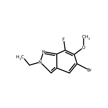 CCn1cc2cc(Br)c(OC)c(F)c2n1